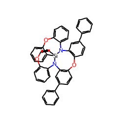 c1ccc(-c2ccc3c(c2)N2c4ccccc4Oc4ccccc4[Si]24c2ccccc2Oc2ccccc2N4c2cc(-c4ccccc4)ccc2O3)cc1